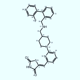 O=C1NC(=O)C(=Cc2ccnc(N3CCC(CNCc4ccccc4-c4ccncc4F)CC3)n2)S1